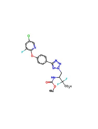 CC(C)(C)OC(=O)NC(Cn1nnc(-c2ccc(Oc3ncc(Cl)cc3F)cc2)n1)C(F)(F)C(=O)O